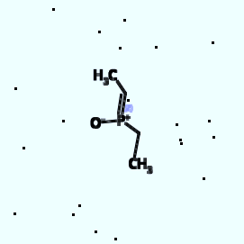 C/C=[P+](\[O-])CC